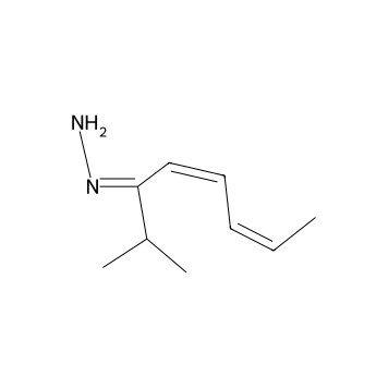 C\C=C/C=C\C(=N/N)C(C)C